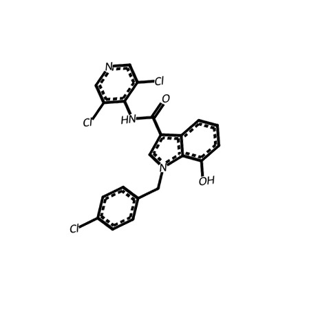 O=C(Nc1c(Cl)cncc1Cl)c1cn(Cc2ccc(Cl)cc2)c2c(O)cccc12